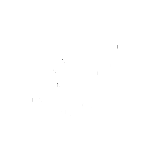 CCc1c(C(F)(F)C(F)(F)F)nnn1C(C)C